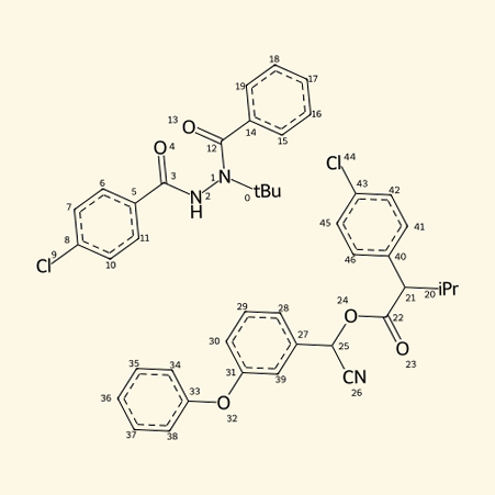 CC(C)(C)N(NC(=O)c1ccc(Cl)cc1)C(=O)c1ccccc1.CC(C)C(C(=O)OC(C#N)c1cccc(Oc2ccccc2)c1)c1ccc(Cl)cc1